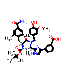 COc1cc(CN(C(=O)[C@H](Cc2c(C)cc(C(N)=O)cc2C)NC(=O)OC(C)(C)C)[C@@H](C)c2nc(-c3cccc(C(=O)O)c3)c[nH]2)ccc1O